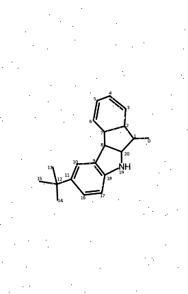 CC1C2C=CC=CC2C2c3cc(C(C)(C)C)ccc3NC12